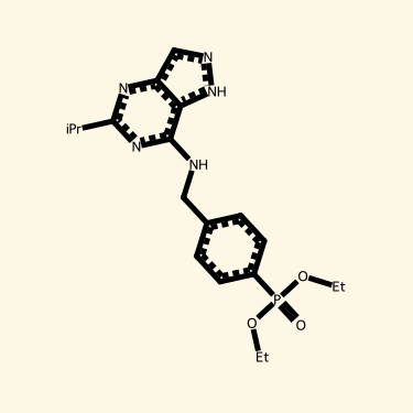 CCOP(=O)(OCC)c1ccc(CNc2nc(C(C)C)nc3cn[nH]c23)cc1